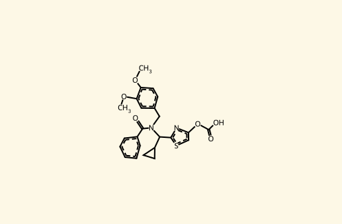 COc1ccc(CN(C(=O)c2ccccc2)C(c2nc(OC(=O)O)cs2)C2CC2)cc1OC